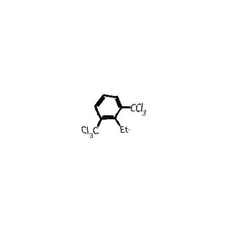 C[CH]c1c(C(Cl)(Cl)Cl)cccc1C(Cl)(Cl)Cl